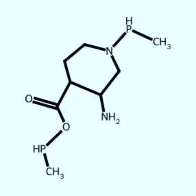 CPOC(=O)C1CCN(PC)CC1N